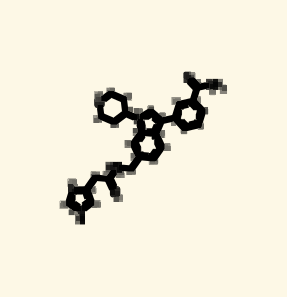 NC(=S)c1cccc(-c2cn(C3CCOCC3)c3cc(CNC(=O)Cc4c[nH]cn4)ccc23)c1